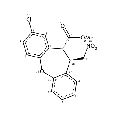 COC(=O)[C@H]1c2cc(Cl)ccc2Oc2ccccc2[C@@H]1C[N+](=O)[O-]